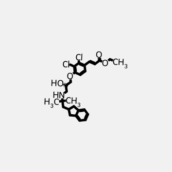 CCOC(=O)C=Cc1ccc(OC[C@H](O)CNC(C)(C)CC2Cc3ccccc3C2)c(Cl)c1Cl